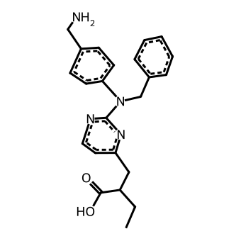 CCC(Cc1ccnc(N(Cc2ccccc2)c2ccc(CN)cc2)n1)C(=O)O